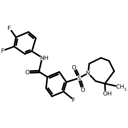 CC1(O)CCCCN(S(=O)(=O)c2cc(C(=O)Nc3ccc(F)c(F)c3)ccc2F)C1